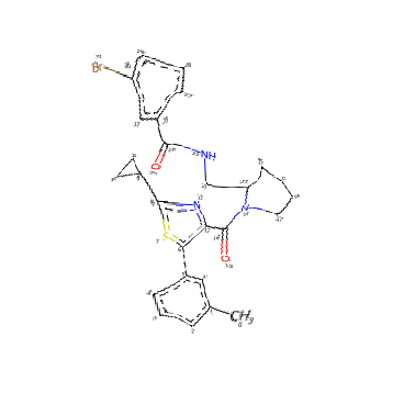 Cc1cccc(-c2sc(C3CC3)nc2C(=O)N2CCCCC2CNC(=O)c2cccc(Br)c2)c1